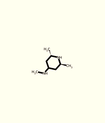 CNC1C[C@H](C)N[C@@H](C)C1